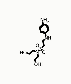 Nc1ccc(NCCS(=O)(=O)N(CCO)CCO)cc1